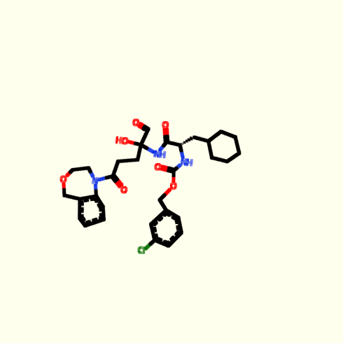 O=CC(O)(CCC(=O)N1CCOCc2ccccc21)NC(=O)[C@H](CC1CCCCC1)NC(=O)OCc1cccc(Cl)c1